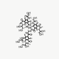 Cc1c(NC(=O)CO)c(I)c(C(=O)N(C)CC(O)CO)c(I)c1C(=O)N(CCN(C)C(=O)c1c(I)c(NC(=O)CO)c(I)c(C(=O)N(C)CC(O)CO)c1I)CCN(C)C(=O)c1c(I)c(NC(=O)CO)c(I)c(C(=O)N(C)CC(O)CO)c1I